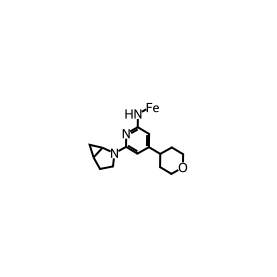 [Fe][NH]c1cc(C2CCOCC2)cc(N2CCC3CC32)n1